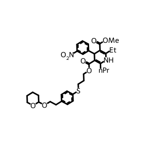 CCCC1=C(C(=O)OCCCSc2ccc(CCOC3CCCCO3)cc2)C(c2cccc([N+](=O)[O-])c2)C(C(=O)OC)=C(CC)N1